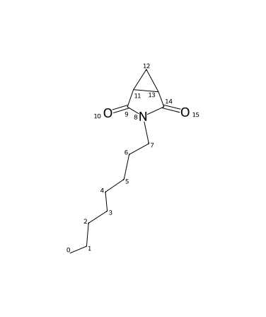 CCCCCCCCN1C(=O)C2CC2C1=O